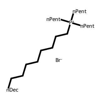 CCCCCCCCCCCCCCCCCC[P+](CCCCC)(CCCCC)CCCCC.[Br-]